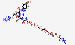 CC(C)[C@H](NC(=O)CCOCCOCCOCCOCCOCCOCCN=[N+]=[N-])C(=O)N[C@@H](CCCCNN)C(=O)Nc1ccc(O)cc1